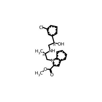 COC(=O)c1cc2ccccc2n1C[C@@H](C)NC[C@H](O)c1cccc(Cl)c1